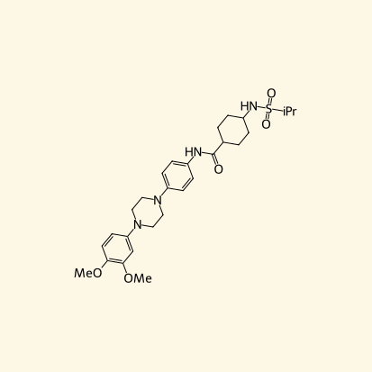 COc1ccc(N2CCN(c3ccc(NC(=O)C4CCC(NS(=O)(=O)C(C)C)CC4)cc3)CC2)cc1OC